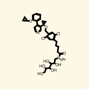 CCCN(CC(O)C(O)C(O)C(O)CO)C(=O)CCCCc1cc(Cl)c(COC2(c3cnccc3-c3ccccc3OC3CC3)CC2)cc1Cl